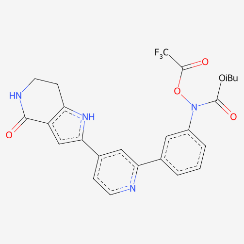 CC(C)COC(=O)N(OC(=O)C(F)(F)F)c1cccc(-c2cc(-c3cc4c([nH]3)CCNC4=O)ccn2)c1